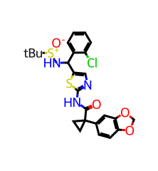 CC(C)(C)[S+]([O-])NC(c1cnc(NC(=O)C2(c3ccc4c(c3)OCO4)CC2)s1)c1ccccc1Cl